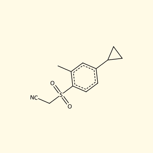 Cc1cc(C2CC2)ccc1S(=O)(=O)CC#N